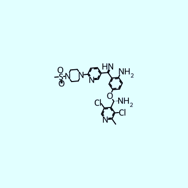 Cc1ncc(Cl)c([C@@H](N)Oc2ccc(N)c(C(=N)c3ccc(N4CCN(S(C)(=O)=O)CC4)nc3)c2)c1Cl